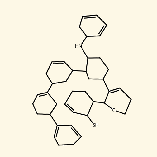 SC1C=CCCC1C1CCCC=C1C1CCC(NC2C=CC=CC2)C(C2C=CCC(C3=CCCC(C4=CCCC=C4)C3)C2)C1